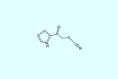 N#CSCC(=O)c1ccc[nH]1